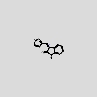 O=C1Nc2ccccc2/C1=C/c1ccon1